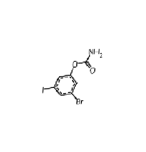 NC(=O)Oc1cc(Br)cc(I)c1